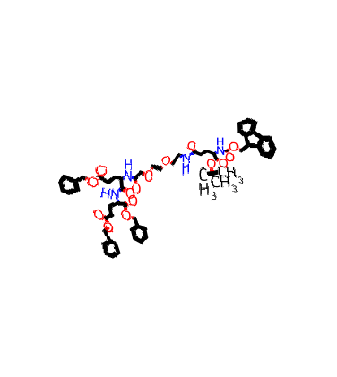 CC(C)(C)OC(=O)C(CCC(=O)NCCOCCOCC(=O)NC(CCC(=O)OCc1ccccc1)C(=O)NC(CCC(=O)OCc1ccccc1)C(=O)OCc1ccccc1)NC(=O)OCC1c2ccccc2-c2ccccc21